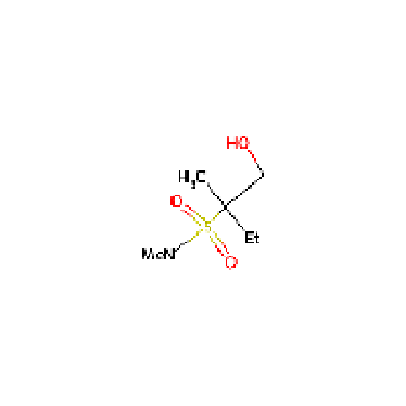 CCC(C)(CO)S(=O)(=O)NC